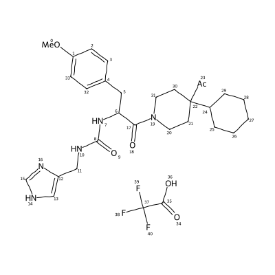 COc1ccc(CC(NC(=O)NCc2c[nH]cn2)C(=O)N2CCC(C(C)=O)(C3CCCCC3)CC2)cc1.O=C(O)C(F)(F)F